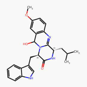 COc1ccc2c(c1)C(O)N1C(=N2)[C@H](CC(C)C)NC(=O)[C@H]1Cc1c[nH]c2ccccc12